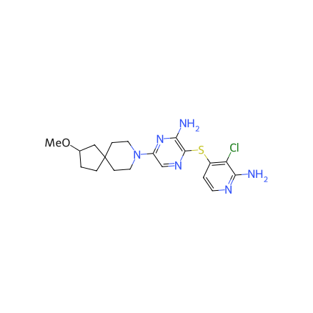 COC1CCC2(CCN(c3cnc(Sc4ccnc(N)c4Cl)c(N)n3)CC2)C1